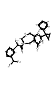 O=C(C(O)c1cccc(C(F)F)c1)N1CCCc2nc(C3(c4ccccc4)CC3)[nH]c(=O)c2C1